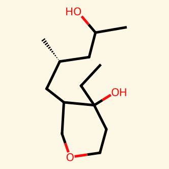 CCC1(O)CCOCC1C[C@H](C)CC(C)O